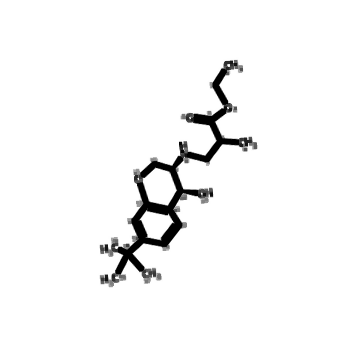 CCOC(=O)C(C)CN[C@@H]1COc2cc(C(C)(C)C)ccc2[C@@H]1O